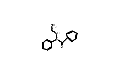 NCNN(C(=O)c1ccccc1)c1ccccc1